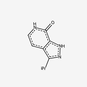 CC(C)c1n[nH]c2c(=O)[nH]ccc12